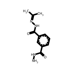 CC(C)=NNC(=O)c1cccc(C(=O)NN)c1